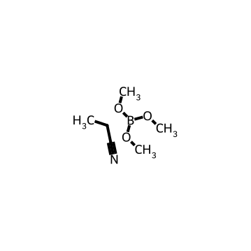 CCC#N.COB(OC)OC